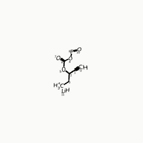 C#CC(CC)OC(=O)OP=O.[LiH]